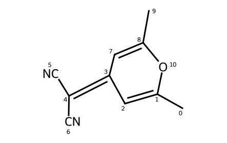 CC1=CC(=C(C#N)C#N)C=C(C)O1